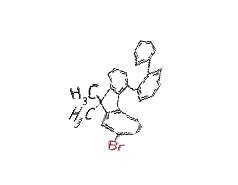 CC1(C)c2cc(Br)ccc2-c2c(-c3ccccc3-c3ccccc3)cccc21